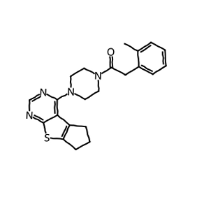 Cc1ccccc1CC(=O)N1CCN(c2ncnc3sc4c(c23)CCC4)CC1